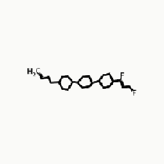 C=CCCC1CCC(C2CCC(C3CCC(/C(F)=C/CF)CC3)CC2)CC1